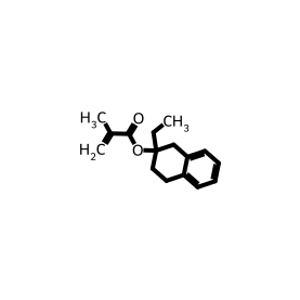 C=C(C)C(=O)OC1(CC)CCc2ccccc2C1